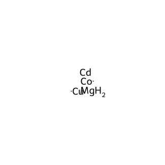 [Cd].[Co].[Cu].[MgH2]